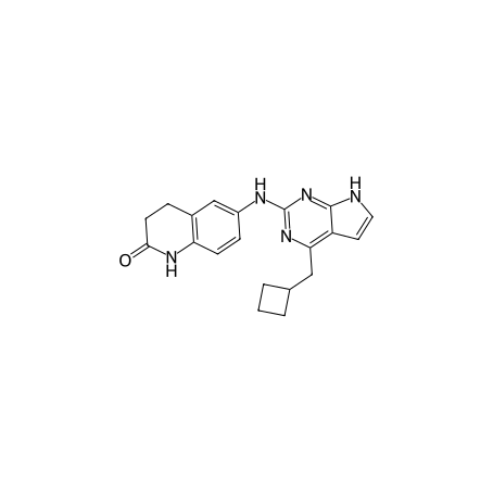 O=C1CCc2cc(Nc3nc(CC4CCC4)c4cc[nH]c4n3)ccc2N1